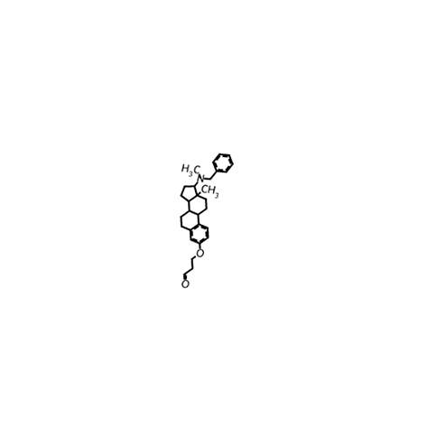 CN(Cc1ccccc1)C1CCC2C3CCc4cc(OCCC=O)ccc4C3CCC21C